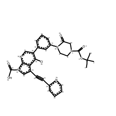 CC(C)(C)OC(=O)N1CCN(c2cccc(-c3cnc4c(c(C#Cc5ccccn5)cn4C(=O)O)c3Cl)c2)C(=O)C1